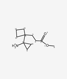 COC(=O)CCC1(C2(N)CC2)CCC1